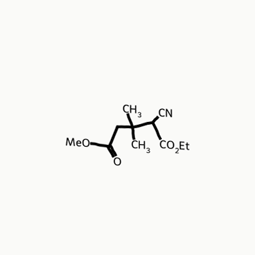 CCOC(=O)C(C#N)C(C)(C)CC(=O)OC